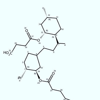 CC(C)[C@@H]1CCC(CCC(C)[C@@H]2CC[C@@H](C)C[C@H]2OC(=O)CCC(=O)O)C[C@H]1OC(=O)CCCC(=O)O